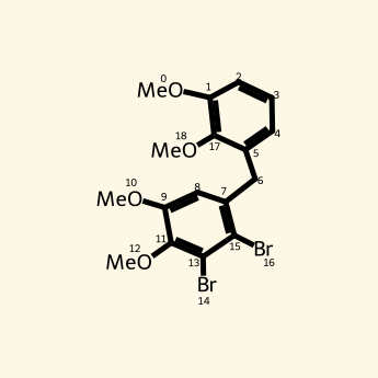 COc1cccc(Cc2cc(OC)c(OC)c(Br)c2Br)c1OC